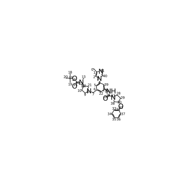 Cc1cn(-c2cc(CN3CC[C@H](N(C)C(=O)OC(C)(C)C)C3)cc(NC(=O)N3CCC(Oc4ccccc4)C3)c2)cn1